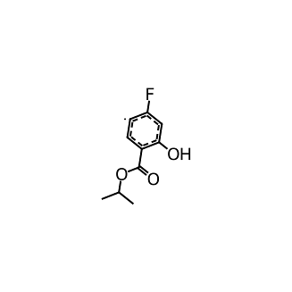 CC(C)OC(=O)c1c[c]c(F)cc1O